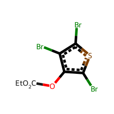 CCOC(=O)Oc1c(Br)sc(Br)c1Br